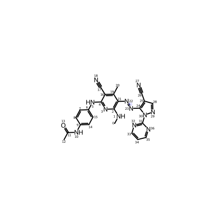 CNc1nc(Nc2ccc(NC(C)=O)cc2)c(C#N)c(C)c1/N=N/c1c(C#N)cnn1-c1ncccn1